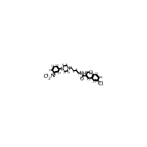 O=C(NCCCCN1CCN(c2cccc([N+](=O)[O-])c2)CC1)C1=Cc2cc(Cl)ccc2OC1